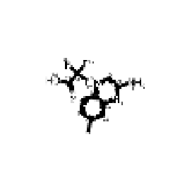 Cc1ccc2ncc(N)nc2c1.O=C(O)C(F)(F)F